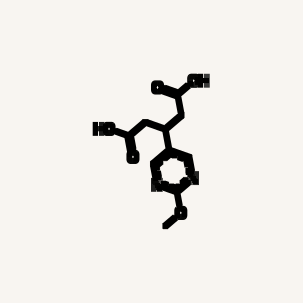 COc1ncc(C(CC(=O)O)CC(=O)O)cn1